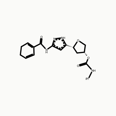 CC(C)NC(=O)O[C@H]1CO[C@@H](c2cc(NC(=O)C3=CCCC=C3)n[nH]2)C1